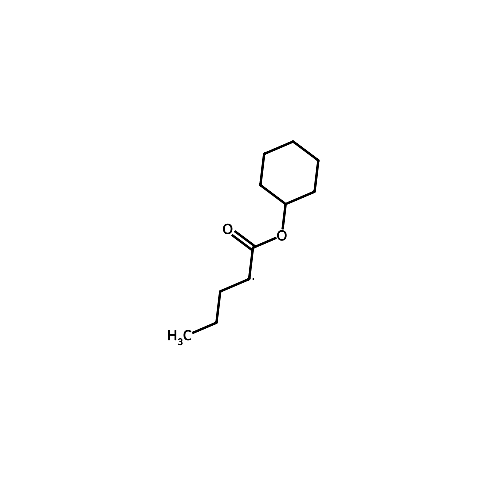 CCC[CH]C(=O)OC1CCCCC1